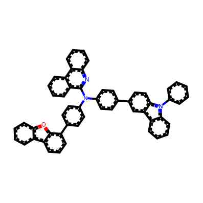 c1ccc(-n2c3ccccc3c3cc(-c4ccc(N(c5ccc(-c6cccc7c6oc6ccccc67)cc5)c5nc6ccccc6c6ccccc56)cc4)ccc32)cc1